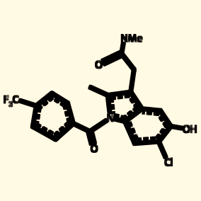 CNC(=O)Cc1c(C)n(C(=O)c2ccc(C(F)(F)F)cc2)c2cc(Cl)c(O)cc12